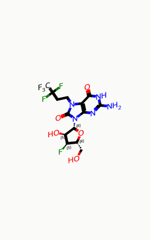 Nc1nc2c(c(=O)[nH]1)n(CCC(F)(F)C(F)(F)F)c(=O)n2[C@@H]1O[C@H](CO)[C@@H](F)[C@H]1O